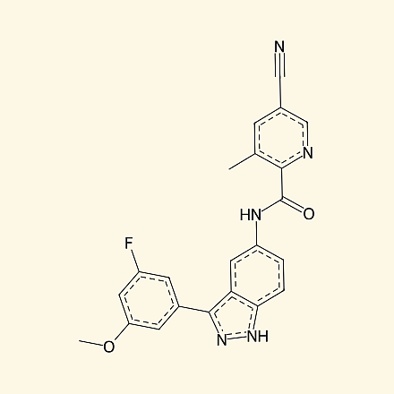 COc1cc(F)cc(-c2n[nH]c3ccc(NC(=O)c4ncc(C#N)cc4C)cc23)c1